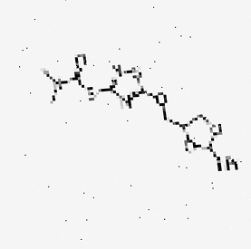 CCCC1OCC(COc2nc(SC(=O)N(C)C)ns2)O1